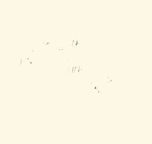 C1=C(c2cc3c(Nc4ccc5scnc5c4)ccnc3s2)[C@]2(CCOC2)NC1